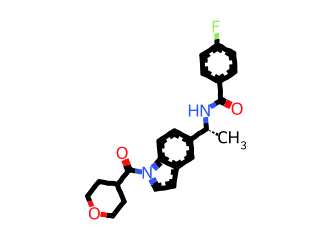 C[C@@H](NC(=O)c1ccc(F)cc1)c1ccc2c(ccn2C(=O)C2CCOCC2)c1